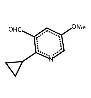 COc1cnc(C2CC2)c(C=O)c1